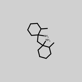 CC1CCCCC1(N)CC1(N)CCCCC1C